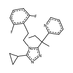 CCC(C)(c1ccccn1)c1nnc(C2CC2)n1CCc1c(F)cccc1F